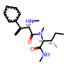 C=C(c1ccccc1)[C@H](NC)C(=O)N(C)[C@H](C(=O)NC)[C@@H](C)CC